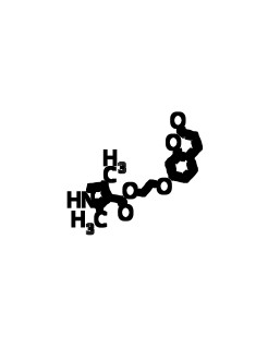 Cc1c[nH]c(C)c1C(=O)OCCOc1ccc2ccc(=O)oc2c1